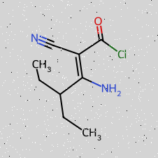 CCC(CC)C(N)=C(C#N)C(=O)Cl